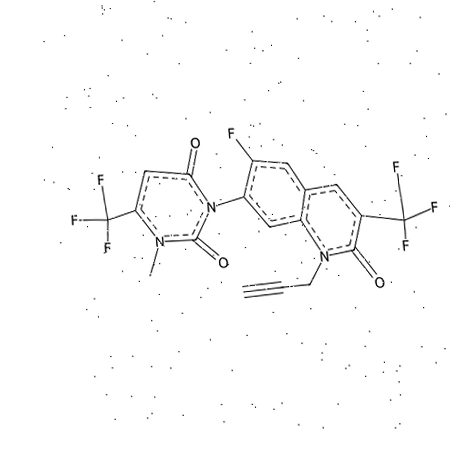 C#CCn1c(=O)c(C(F)(F)F)cc2cc(F)c(-n3c(=O)cc(C(F)(F)F)n(C)c3=O)cc21